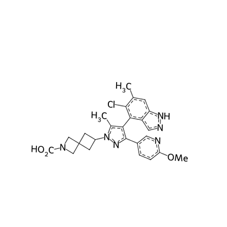 COc1ccc(-c2nn(C3CC4(C3)CN(C(=O)O)C4)c(C)c2-c2c(Cl)c(C)cc3[nH]ncc23)cn1